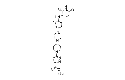 CC(C)(C)OC(=O)c1ccc(N2CCC(N3CCN(c4ccc(NC5CCC(=O)NC5=O)c(F)c4)CC3)CC2)nn1